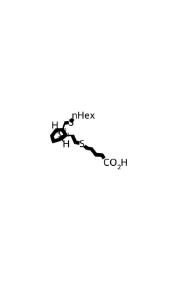 CCCCCCSC[C@H]1[C@@H](CCSCCCCC(=O)O)[C@H]2CC[C@@H]1O2